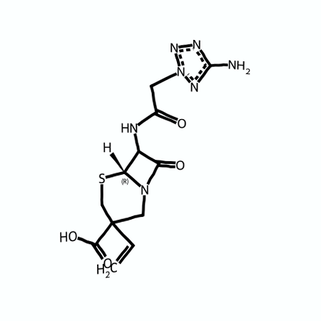 C=CC1(C(=O)O)CS[C@@H]2C(NC(=O)Cn3nnc(N)n3)C(=O)N2C1